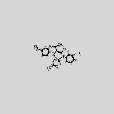 CC(=O)C1=C(C)N(c2cccc(C)c2)C(=O)N(CC(N)=O)[C@@H]1c1ccc(C=N)cc1